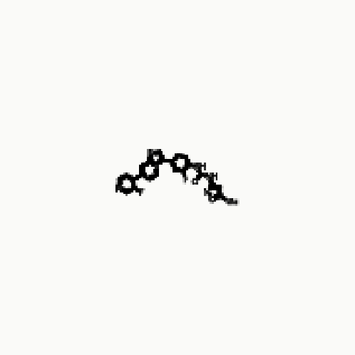 CC(C)(C)c1cc(NC(=O)Nc2ccc(-c3cnc4cc(-c5ccncc5F)ccn34)cc2F)no1